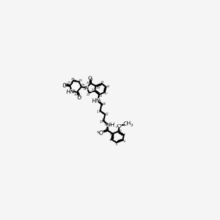 COc1ccccc1C(=O)NCCCCNc1cccc2c1CN(C1CCC(=O)NC1=O)C2=O